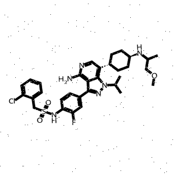 COCC(C)N[C@H]1CC[C@H](c2cnc(N)c3c(-c4ccc(NS(=O)(=O)Cc5ccccc5Cl)c(F)c4)nn(C(C)C)c32)CC1